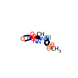 Cc1c(Nc2ccc(S(C)(=O)=O)cc2Cl)ncnc1OC1CC2COCC(C1)N2C(=O)OC1CCC1